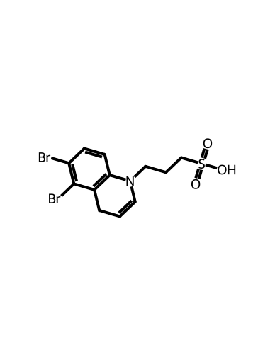 O=S(=O)(O)CCCN1C=CCc2c1ccc(Br)c2Br